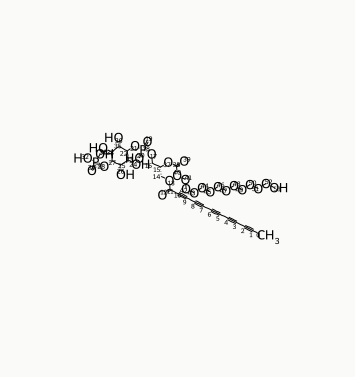 CC#CC#CC#CC#CC#CC(=O)OC[C@H](COP(=O)(O)OC1C(O)[C@H](O)[C@H](OP(=O)(O)O)C(O)[C@@H]1O)OC(=O)OOOOOOOOOOOOOO